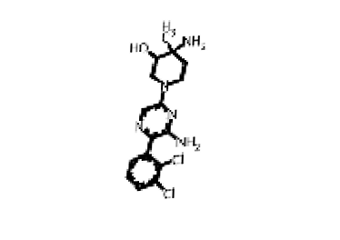 CC1(N)CCN(c2cnc(-c3cccc(Cl)c3Cl)c(N)n2)CC1O